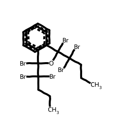 CCCC(Br)(Br)C(Br)(OC(Br)(c1ccccc1)C(Br)(Br)CCC)c1ccccc1